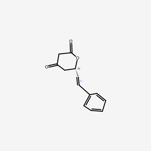 O=C1CC(=O)O[C@H](/C=C/c2ccccc2)C1